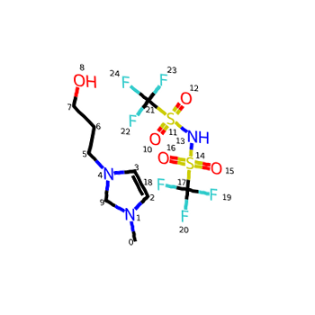 CN1C=CN(CCCO)C1.O=S(=O)(NS(=O)(=O)C(F)(F)F)C(F)(F)F